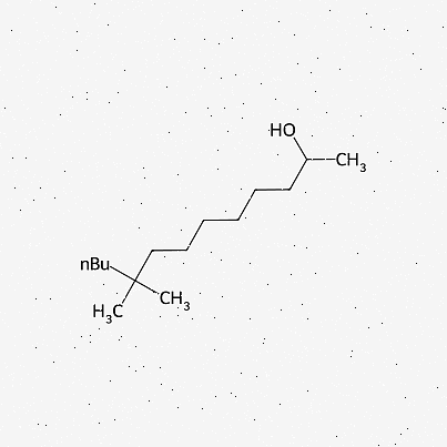 CCCCC(C)(C)CCCCCCC(C)O